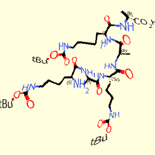 C[C@@H](NC(=O)[C@H](CCCCNC(=O)OC(C)(C)C)NC(=O)[C@@H](C)NC(=O)[C@H](CCCCNC(=O)OC(C)(C)C)NC(=O)[C@@H](C)NC(=O)[C@@H](N)CCCCNC(=O)OC(C)(C)C)C(=O)O